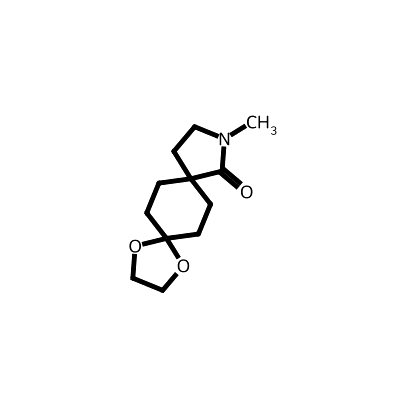 CN1CCC2(CCC3(CC2)OCCO3)C1=O